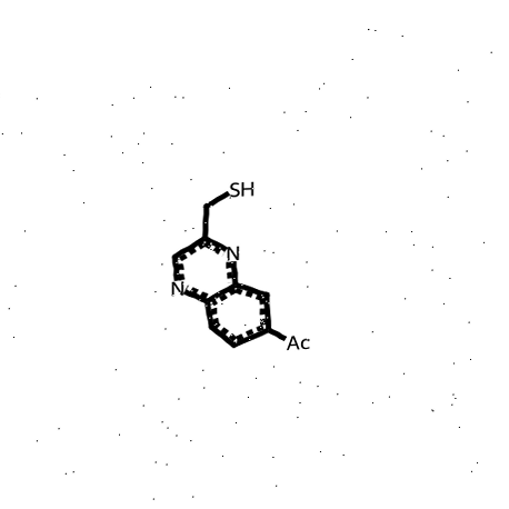 CC(=O)c1ccc2ncc(CS)nc2c1